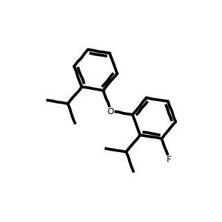 CC(C)c1ccccc1Oc1cccc(F)c1C(C)C